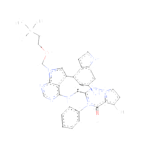 Cc1ccn2nc([C@H](C)Nc3ncnc4c3c(-c3cc(N)cc5[nH]ccc35)cn4COCC[Si](C)(C)C)n(-c3ccccc3)c(=O)c12